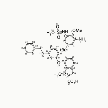 COc1c(N)cc(C(C)(C)C)cc1NS(C)(=O)=O.Cn1c(C(=O)O)cc2cccc(Oc3ccnc(NCc4ccccc4)n3)c21